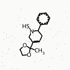 CC1(C2=CCC(c3ccccc3)N(S)C2)OCCO1